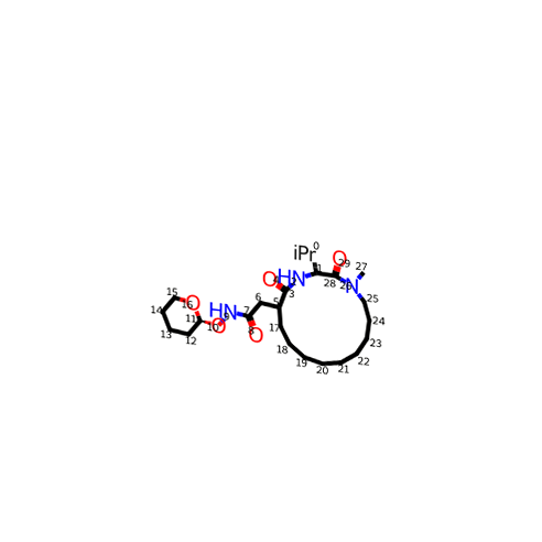 CC(C)C1NC(=O)C(CC(=O)NO[C@H]2CCCCO2)CCCCCCCCCN(C)C1=O